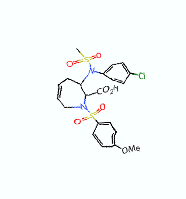 COc1ccc(S(=O)(=O)N2CC=CCC(N(c3ccc(Cl)cc3)S(C)(=O)=O)C2C(=O)O)cc1